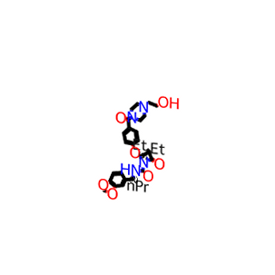 CCC[C@@H](NC(=O)N1C(=O)C(CC)(CC)[C@@H]1Oc1ccc(C(=O)N2CCN(CCO)CC2)cc1)c1ccc2c(c1)OCO2